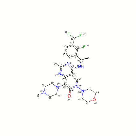 Cc1nc(N[C@H](C)c2cccc(C(F)F)c2F)c2cn(N3CCOCC3)c(=O)c(N3CCN(C)CC3)c2n1